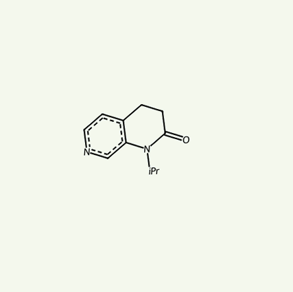 CC(C)N1C(=O)CCc2ccncc21